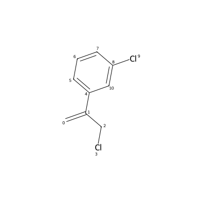 C=C(CCl)c1cccc(Cl)c1